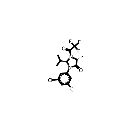 CC(C)[C@@H]1N(c2cc(Cl)cc(Cl)c2)C(=O)[C@@H](C)N1C(=O)C(F)(F)F